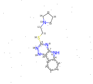 c1ccc2c(c1)[nH]c1nc(SCCN3CCCC3)nnc12